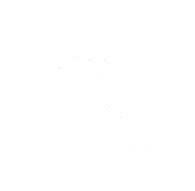 CN1CCN(c2ccccc2NC2=NC3=c4onc(C(=O)NCCc5c[nH]cn5)c4=CC(C)(C)C3=CN2)CC1